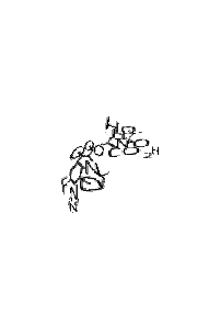 CC(O)[C@H]1C(=O)N2C(C(=O)O)=C(COC(=O)c3cn4c5c(c(N6CCN(C)CC6)c(F)cc5c3=O)OCC4C)[C@H](C)[C@H]12